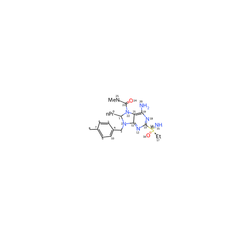 CCCC1N(Cc2ccc(C)cc2)c2nc([S@](=N)(=O)CC)nc(N)c2N1C(=O)NC